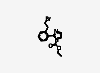 CCOC(=O)n1ccnc1-c1ccccc1CCBr